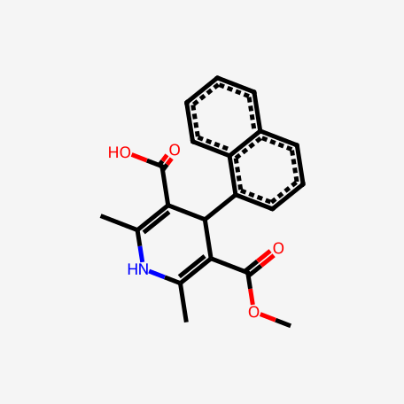 COC(=O)C1=C(C)NC(C)=C(C(=O)O)C1c1cccc2ccccc12